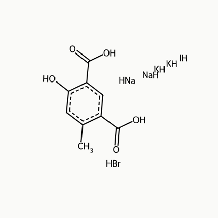 Br.Cc1cc(O)c(C(=O)O)cc1C(=O)O.I.[KH].[KH].[NaH].[NaH]